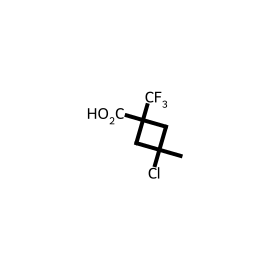 CC1(Cl)CC(C(=O)O)(C(F)(F)F)C1